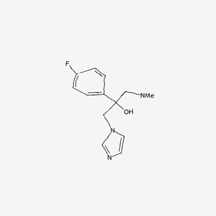 CNCC(O)(Cn1ccnc1)c1ccc(F)cc1